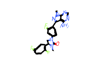 CN1C(=O)N(c2ccc(-c3nn(C)c4ncnc(N)c34)c(F)c2)CC1c1cc(F)ccc1F